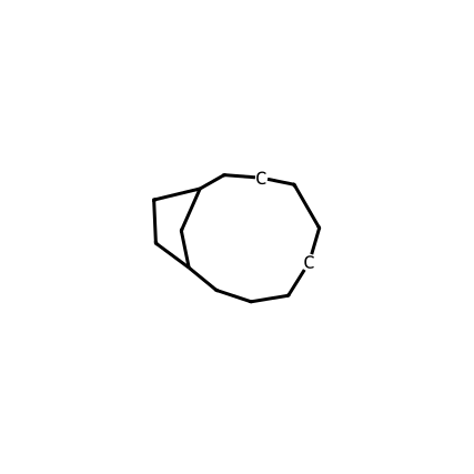 C1CCCCC2CCC(CCC1)C2